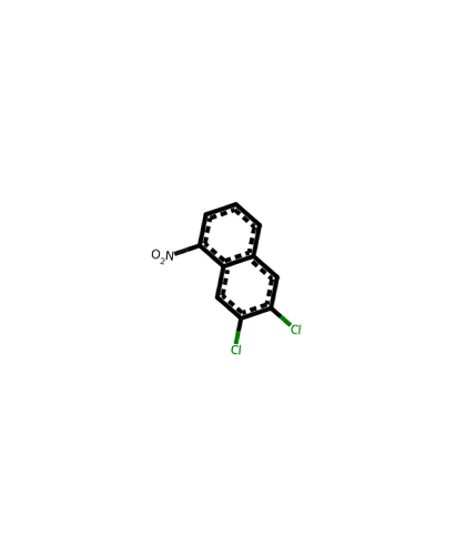 O=[N+]([O-])c1cccc2cc(Cl)c(Cl)cc12